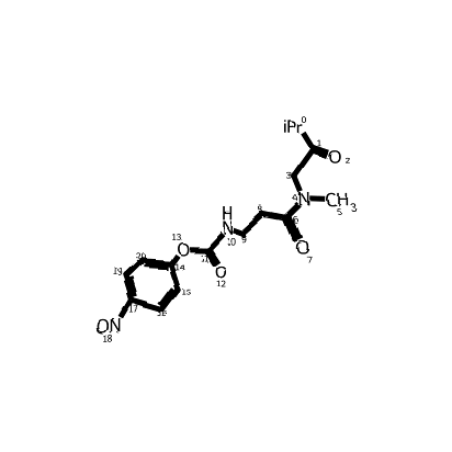 CC(C)C(=O)CN(C)C(=O)CCNC(=O)Oc1ccc(N=O)cc1